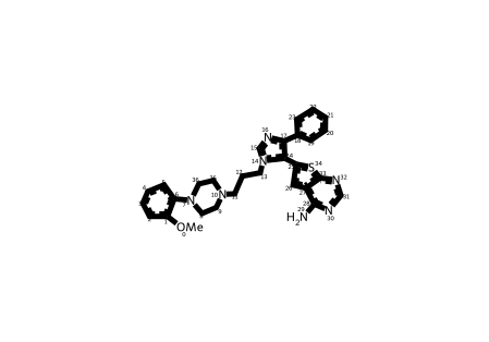 COc1ccccc1N1CCN(CCCn2cnc(-c3ccccc3)c2-c2cc3c(N)ncnc3s2)CC1